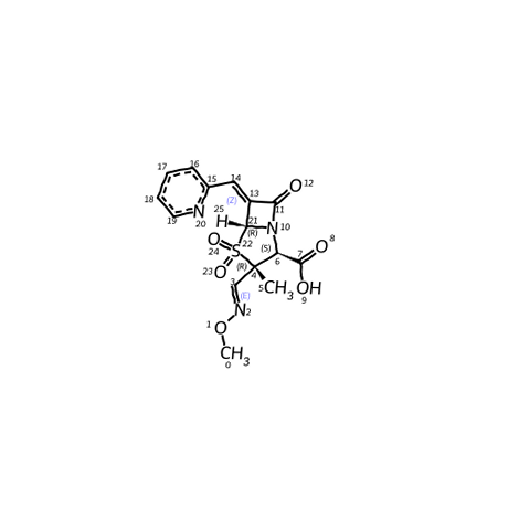 CO/N=C/[C@@]1(C)[C@H](C(=O)O)N2C(=O)/C(=C/c3ccccn3)[C@H]2S1(=O)=O